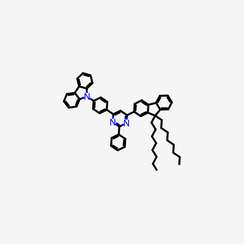 CCCCCCCCC1(CCCCCCCC)c2ccccc2-c2ccc(-c3cc(-c4ccc(-n5c6ccccc6c6ccccc65)cc4)nc(-c4ccccc4)n3)cc21